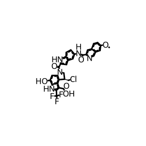 COc1ccc2cc(C(=O)Nc3ccc4[nH]c(C(=O)N5C[C@@H](CCl)c6c5cc(O)c5[nH]c(C(F)(F)F)c(C(=O)O)c65)cc4c3)ncc2c1